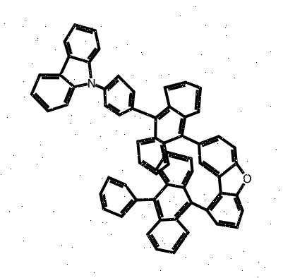 c1ccc(-c2c3ccccc3c(-c3cccc4oc5ccc(-c6c7ccccc7c(-c7ccc(-n8c9ccccc9c9ccccc98)cc7)c7ccccc67)cc5c34)c3ccccc23)cc1